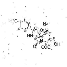 Cc1ccc(C(=O)N[C@H]2C(=O)N3C(C(=O)[O-])=C(CO)CS(=O)(=O)[C@@H]23)cc1.[Na+]